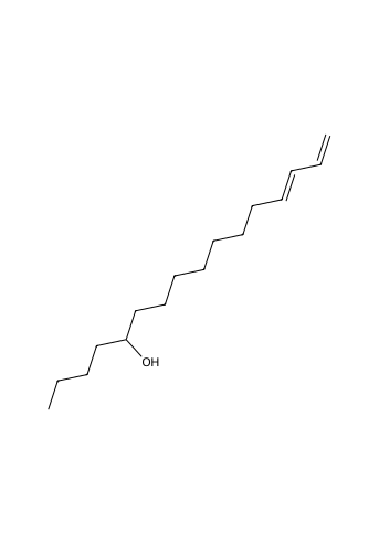 C=CC=CCCCCCCCC(O)CCCC